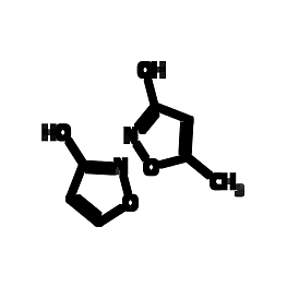 Cc1cc(O)no1.Oc1ccon1